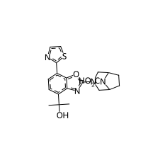 CC(C)(O)c1ccc(-c2nccs2)c2oc(N3CC4CCC(C3)N4C(=O)O)nc12